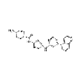 Nc1ccc(C(=O)Nc2ccc(Nc3cc(-c4cccc5ccccc45)ncn3)cc2)cc1